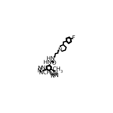 CC1(c2cc(NC(=O)NCCCCN3CCCC(Cc4ccc(F)cc4)C3)cc(C3(C)N=NN=N3)c2)N=NN=N1